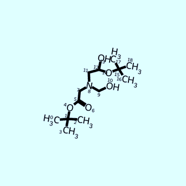 CC(C)(C)OC(=O)CN(CO)CC(O)OC(C)(C)C